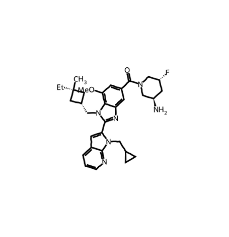 CC[C@]1(C)C[C@H](Cn2c(-c3cc4cccnc4n3CC3CC3)nc3cc(C(=O)N4C[C@H](N)C[C@@H](F)C4)cc(OC)c32)C1